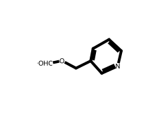 O=[C]OCc1cccnc1